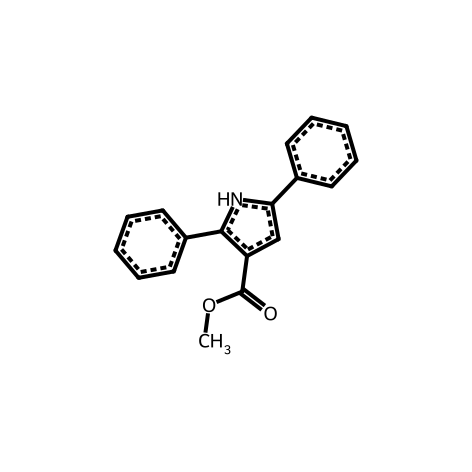 COC(=O)c1cc(-c2ccccc2)[nH]c1-c1ccccc1